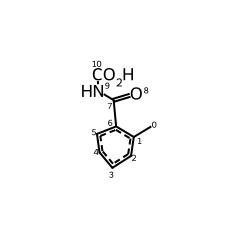 Cc1ccccc1C(=O)NC(=O)O